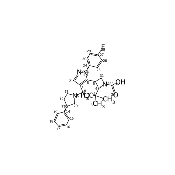 CC(C)(C)C1C(c2c(C(=O)N3CC[C@H](c4ccccc4)C3)cnn2-c2ccc(F)cc2)CN1C(=O)O